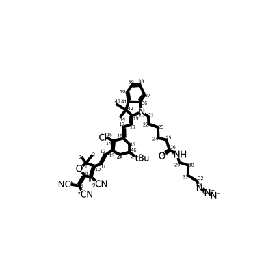 CC1(C)OC(=C(C#N)C#N)C(C#N)=C1/C=C/C1=C(Cl)C(=C/C=C2/N(CCCCCC(=O)NCCCCN=[N+]=[N-])c3ccccc3C2(C)C)/CC(C(C)(C)C)C1